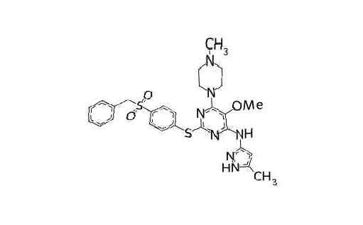 COc1c(Nc2cc(C)[nH]n2)nc(Sc2ccc(S(=O)(=O)Cc3ccccc3)cc2)nc1N1CCN(C)CC1